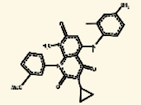 Bc1ccc(Nc2cc(=O)n(C)c3c2c(=O)n(C2CC2)c(=O)n3-c2cccc(OC)c2)c(F)c1